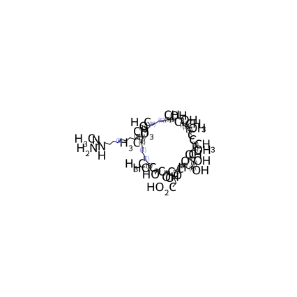 CN=C(N)NCCC/C=C/CCC[C@H](C)[C@@H]1OC(=O)/C(C)=C/C=C/[C@H](C)[C@@H](O)C[C@H](O)[C@@H](C)[C@H](O)CC[C@H](C)[C@@H](O)C[C@@]2(O)O[C@@H](C[C@@H](OC(=O)CC(=O)O)C[C@H](O)C[C@@H](O)C[C@H](O)/C(C)=C/C=C/[C@H]1C)C[C@@H](O)[C@@H]2O